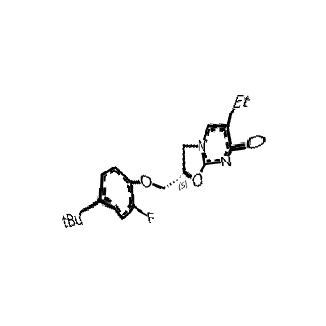 CCc1cn2c(nc1=O)O[C@H](COc1ccc(C(C)(C)C)cc1F)C2